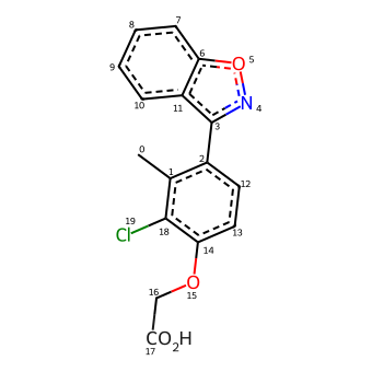 Cc1c(-c2noc3ccccc23)ccc(OCC(=O)O)c1Cl